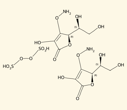 NOC1=C(O)C(=O)O[C@@H]1[C@@H](O)CO.NOC1=C(O)C(=O)O[C@@H]1[C@@H](O)CO.O=S(=O)(O)OOS(=O)(=O)O